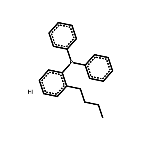 CCCCc1ccccc1P(c1ccccc1)c1ccccc1.I